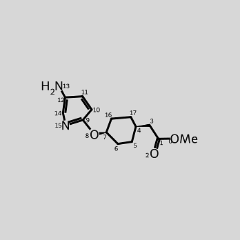 COC(=O)C[C@H]1CC[C@@H](Oc2ccc(N)cn2)CC1